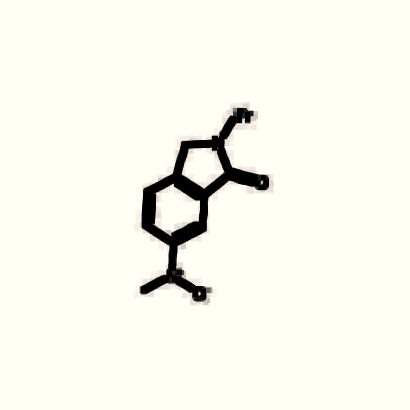 CC(C)N1Cc2ccc([S+](C)[O-])cc2C1=O